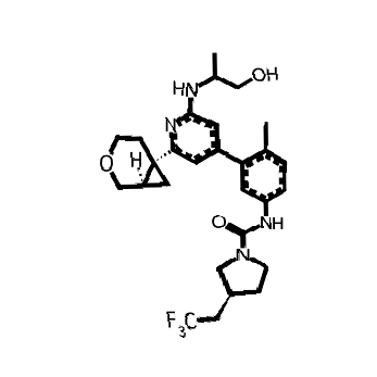 Cc1ccc(NC(=O)N2CC[C@@H](CC(F)(F)F)C2)cc1-c1cc(NC(C)CO)nc([C@@]23CCOC[C@@H]2C3)c1